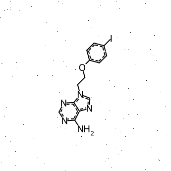 Nc1ncnc2c1ncn2CCOc1ccc(I)cc1